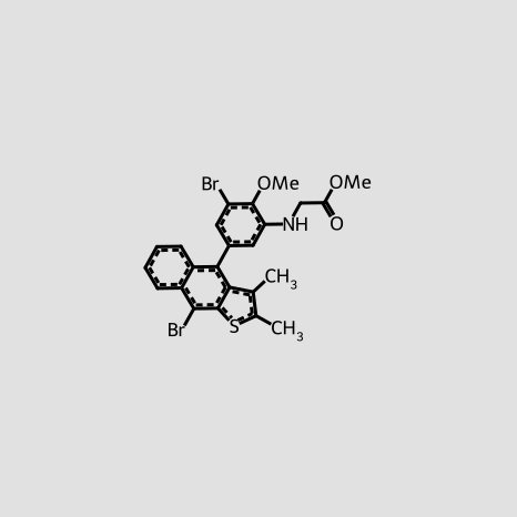 COC(=O)CNc1cc(-c2c3ccccc3c(Br)c3sc(C)c(C)c23)cc(Br)c1OC